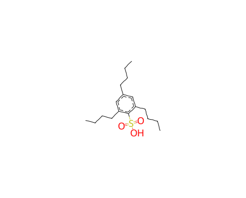 CCCCc1cc(CCCC)c(S(=O)(=O)O)c(CCCC)c1